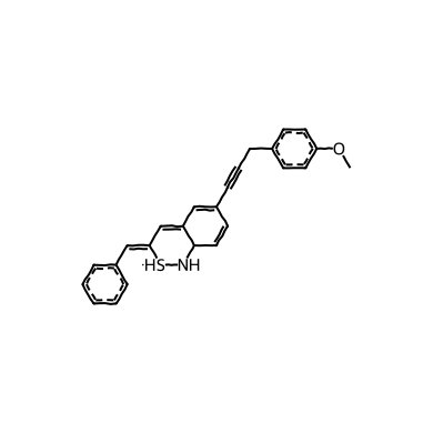 COc1ccc(CC#CC2=CC3=C/C(=C/c4ccccc4)[SH]NC3C=C2)cc1